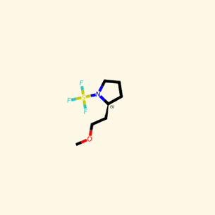 COCC[C@@H]1CCCN1S(F)(F)F